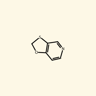 [c]1cc2c(cn1)SCO2